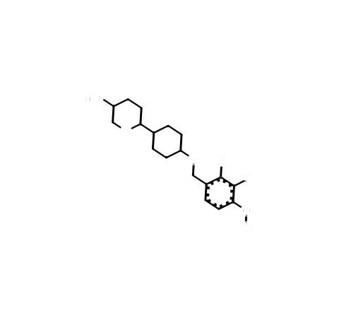 CCCC1CCC(C2CCC(OCc3ccc(OCC)c(F)c3F)CC2)OC1